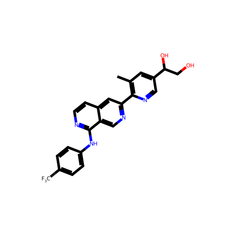 Cc1cc(C(O)CO)cnc1-c1cc2ccnc(Nc3ccc(C(F)(F)F)cc3)c2cn1